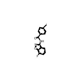 O=C(Nc1noc2c(F)cccc12)c1ccc(I)cc1